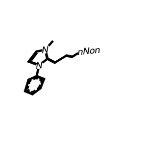 CCCCCCCCCCCCC1N(C)C=CN1c1ccccc1